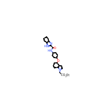 CCOC(=O)Cn1ccc2c(Oc3ccc(NC(=O)c4nc5ccccc5[nH]4)cc3)cccc21